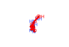 CC[C@H](C)[C@@H]([C@@H](CC(=O)N1CCC[C@H]1[C@H](OC)[C@@H](C)C(=O)N[C@@H](Cc1ccccc1)C(=O)NOCc1ccc(NC(=O)CCCCCNC(=O)CCCC(=O)O)cc1)OC)N(C)C(=O)[C@@H](NC(=O)C(C(C)C)N(C)C)C(C)C